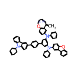 C=C1/C=C\C=C/Oc2ccc(N(c3ccccc3)c3cc(-c4ccc(-c5ccc6c(c5)c5ccccc5n6C5=CC=CCC5)cc4)cc(N(c4ccccc4)c4ccc5oc6ccccc6c5c4)c3)cc21